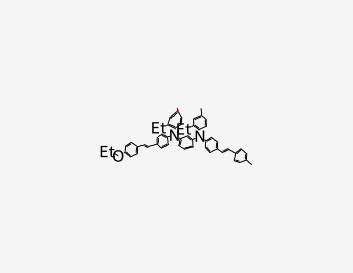 CCOc1ccc(/C=C/c2ccc(N(c3cccc(N(c4ccc(/C=C/c5ccc(C)cc5)cc4)c4ccc(C)cc4CC)c3)c3ccc(C)cc3CC)cc2)cc1